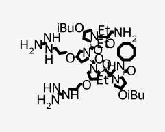 CCC(C)(C(=O)[C@@H]1C[C@H](OCCCNC(=N)N)CN1C(=O)[C@@H]1C[C@@H](OCCCNC(=N)N)CN1C(=O)[C@@H]1C[C@@H](OCC(C)C)CN1C(CC)(CC)C(=O)CN)N1C[C@H](OCC(C)C)C[C@H]1C(=O)NC1CCCCCCC1